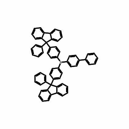 c1ccc(-c2ccc(N(c3ccc(C4(c5ccccc5)c5ccccc5-c5ccccc54)cc3)c3ccc(C4(c5ccccc5)c5ccccc5-c5ccccc54)cc3)cc2)cc1